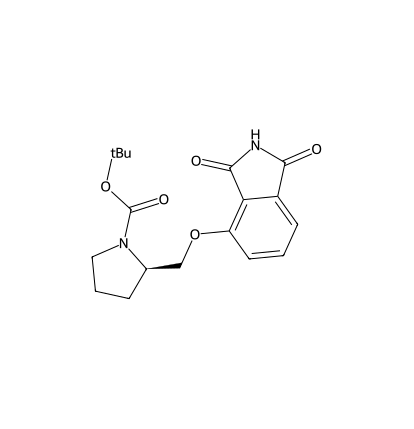 CC(C)(C)OC(=O)N1CCC[C@@H]1COc1cccc2c1C(=O)NC2=O